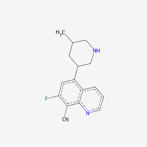 CC1CNCC(c2cc(F)c(C#N)c3ncccc23)C1